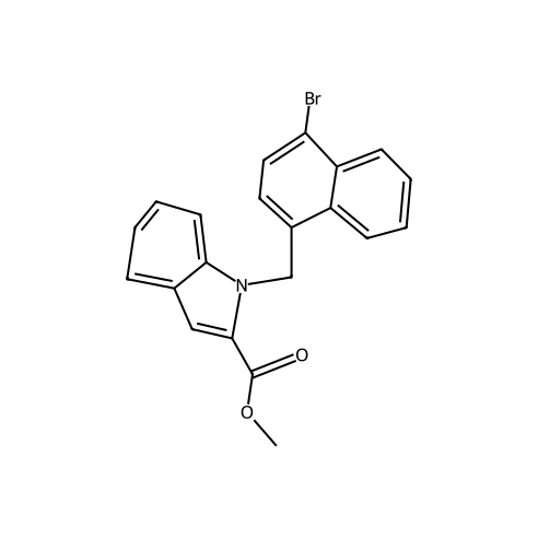 COC(=O)c1cc2ccccc2n1Cc1ccc(Br)c2ccccc12